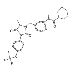 CC1C(=O)N(c2ccc(SC(F)(F)F)cc2)C(=O)N1Cc1ccnc(NC(=O)C2CCCCC2)c1